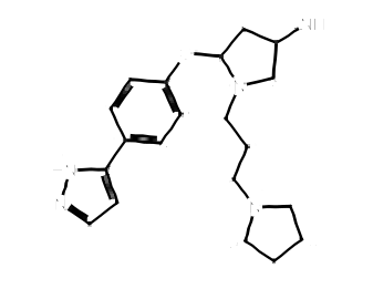 NC1CC(Oc2ccc(-c3ccn[nH]3)cc2)N(CCCN2CCCC2)C1